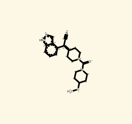 COC1CCN(C(=O)N2CCC(=C(C#N)c3cccc4[nH]ncc34)CC2)CC1